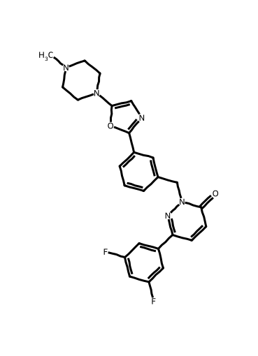 CN1CCN(c2cnc(-c3cccc(Cn4nc(-c5cc(F)cc(F)c5)ccc4=O)c3)o2)CC1